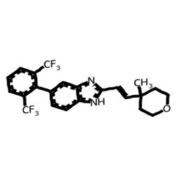 CC1(C=Cc2nc3cc(-c4c(C(F)(F)F)cccc4C(F)(F)F)ccc3[nH]2)CCOCC1